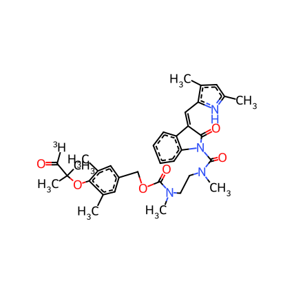 [3H]C(=O)C(C)(C)Oc1c(C)cc(COC(=O)N(C)CCN(C)C(=O)N2C(=O)/C(=C\c3[nH]c(C)cc3C)c3ccccc32)cc1C